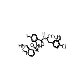 O=C(NC(Cc1ccc(Cl)c(I)c1)C(=O)O)c1ccc(I)cc1NS(=O)(=O)C1=CC=CN2SNC=C12